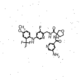 COc1ccc(Nc2cnc(CNC(=O)C3(NC(=O)c4cncc(N)c4)CCOC3)c(F)c2)c(C(F)(F)F)c1